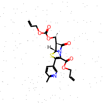 C=CCOC(=O)O[C@H](C)[C@H]1C(=O)N2C(C(=O)OCC=C)=C(c3ccc(C)nc3)S[C@H]12